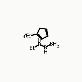 BBBCC.CCC1=CC=CC1.[Co]